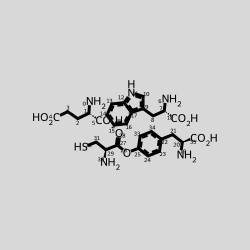 N[C@@H](CCC(=O)O)C(=O)O.N[C@@H](Cc1c[nH]c2ccccc12)C(=O)O.N[C@@H](Cc1ccc(OC(=O)[C@@H](N)CS)cc1)C(=O)O